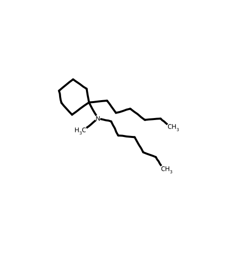 CCCCCCN(C)C1(CCCCCC)CCCCC1